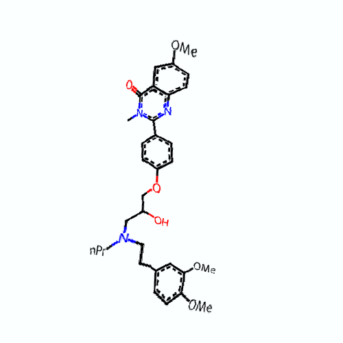 CCCN(CCc1ccc(OC)c(OC)c1)CC(O)COc1ccc(-c2nc3ccc(OC)cc3c(=O)n2C)cc1